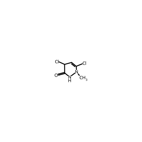 CN1NC(=O)C(Cl)C=C1Cl